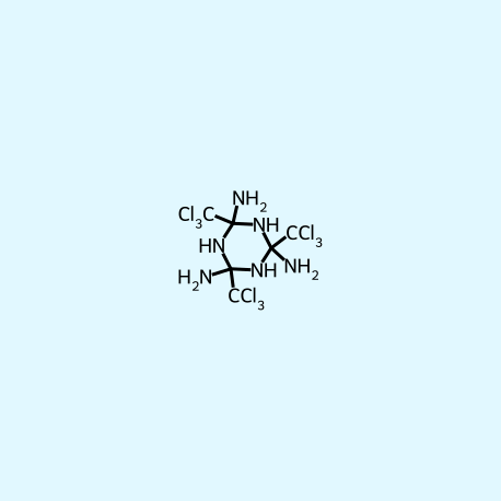 NC1(C(Cl)(Cl)Cl)NC(N)(C(Cl)(Cl)Cl)NC(N)(C(Cl)(Cl)Cl)N1